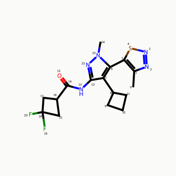 Cc1nnsc1-c1c(C2CCC2)c(NC(=O)C2CC(F)(F)C2)nn1C